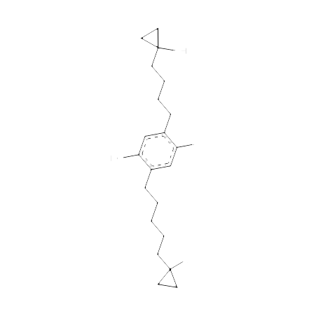 Cc1cc(CCCCC2(C)CC2)c(C)cc1CCCCCC1(C)CC1